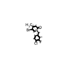 Cc1cc(=O)n(Cc2ccc(Cl)c(F)c2)cc1Br